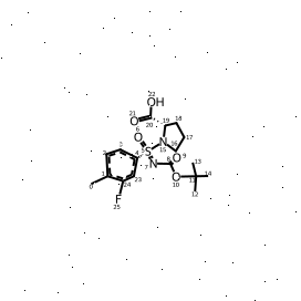 Cc1ccc([S@@](=O)(=NC(=O)OC(C)(C)C)N2CCC[C@H]2C(=O)O)cc1F